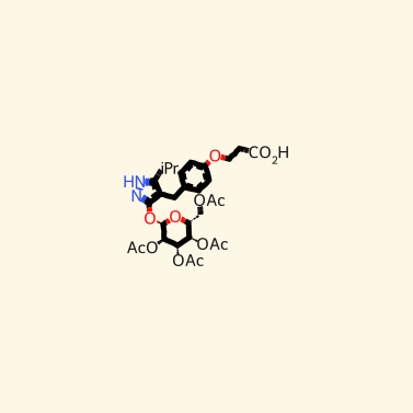 CC(=O)OC[C@H]1O[C@@H](Oc2n[nH]c(C(C)C)c2Cc2ccc(OCCC(=O)O)cc2)[C@H](OC(C)=O)[C@@H](OC(C)=O)[C@H]1OC(C)=O